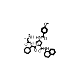 CN[C@@H](C)C(=O)N[C@@H](C(=O)N1C[C@@H](NC(=O)c2ccc(OC)cc2)C[C@H]1C(=O)N[C@@H]1CCCc2ccccc21)C1CCCCC1